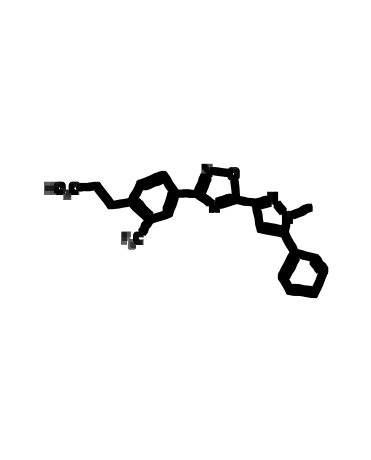 Cn1nc(-c2nc(-c3ccc(CCC(=O)O)c(C(F)(F)F)c3)no2)cc1-c1ccccc1